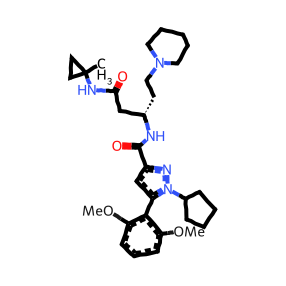 COc1cccc(OC)c1-c1cc(C(=O)N[C@@H](CCN2CCCCC2)CC(=O)NC2(C)CC2)nn1C1CCCC1